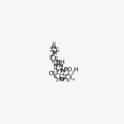 Cc1cc(C)c(C(c2cc(Cl)ccc2Cl)N(C(=O)O)c2ccnc(Nc3cccc(N4CCN(C)CC4)c3)n2)c(C)c1